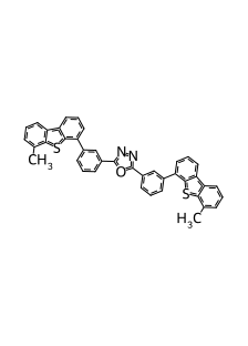 Cc1cccc2c1sc1c(-c3cccc(-c4nnc(-c5cccc(-c6cccc7c6sc6c(C)cccc67)c5)o4)c3)cccc12